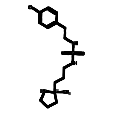 C[C@@]1(CCCNS(=O)(=O)NCCc2ccc(Cl)cc2)CCCN1